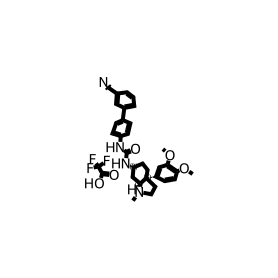 COc1ccc([C@@]23CC[C@@H](NC(=O)Nc4ccc(-c5cccc(C#N)c5)cc4)C[C@@H]2N(C)CC3)cc1OC.O=C(O)C(F)(F)F